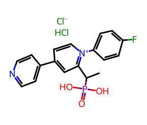 CC(c1cc(-c2ccncc2)cc[n+]1-c1ccc(F)cc1)P(=O)(O)O.Cl.[Cl-]